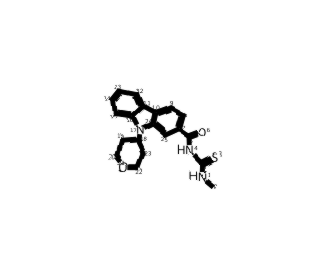 CNC(=S)NC(=O)c1ccc2c3ccccc3n(C3CCOCC3)c2c1